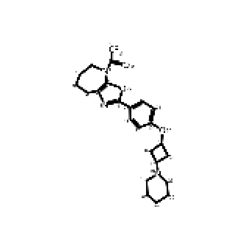 O=C(N1CCCCc2nc(-c3ccc(OC4CC(N5CCCCC5)C4)cc3)oc21)C(F)(F)F